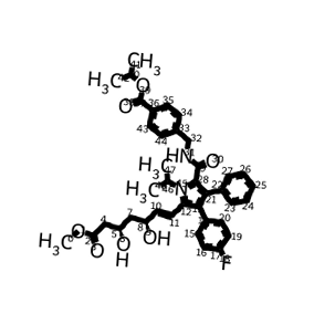 COC(=O)C[C@H](O)C[C@H](O)C=Cc1c(-c2ccc(F)cc2)c(-c2ccccc2)c(C(=O)NCc2ccc(C(=O)OC(C)C)cc2)n1C(C)C